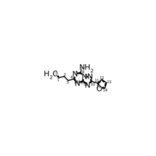 C=CCCc1nc(N)n2nc(-c3ccco3)nc2n1